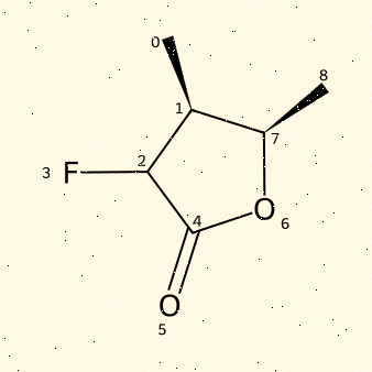 C[C@@H]1C(F)C(=O)O[C@@H]1C